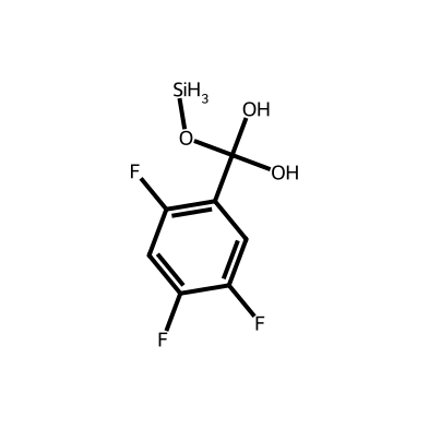 OC(O)(O[SiH3])c1cc(F)c(F)cc1F